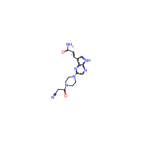 N#CCC(=O)N1CCN(c2cnc3[nH]cc(/C=C/C(N)=O)c3n2)CC1